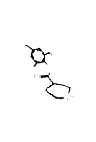 O=C(Oc1c(I)cc(I)cc1I)C1CCNCC1